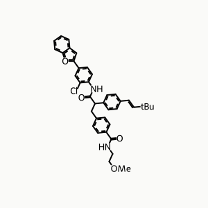 COCCNC(=O)c1ccc(CC(C(=O)Nc2ccc(-c3cc4ccccc4o3)cc2Cl)c2ccc(/C=C/C(C)(C)C)cc2)cc1